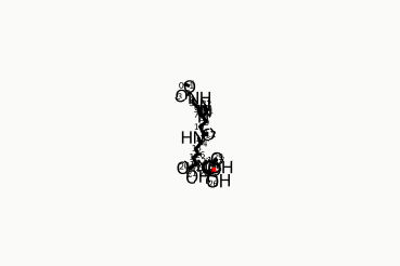 COC(=O)NCc1cn(CCC(=O)NCCCCC(C(=O)O)N(CC(=O)O)CC(=O)O)nn1